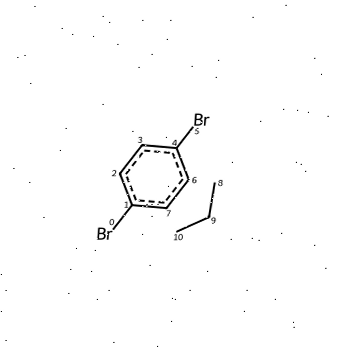 Brc1ccc(Br)cc1.CCC